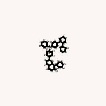 c1ccc(-c2ccccc2-c2ccc(N(c3ccccc3)c3ccc(-c4ccc5ccc6sc7ccccc7c6c5c4)cc3)cc2)cc1